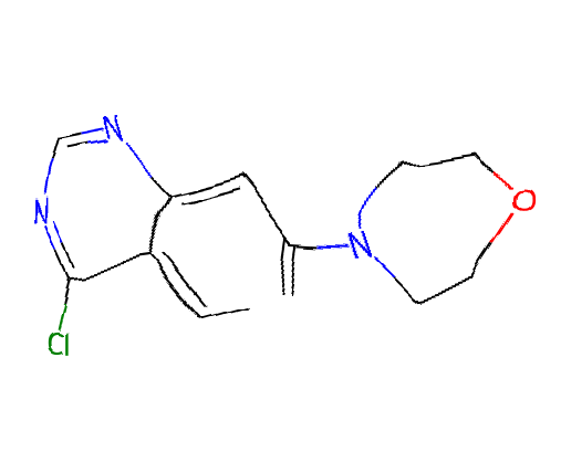 C=C(/C=c1/ncnc(Cl)/c1=C/C)N1CCOCC1